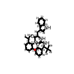 CC(C)c1cccc(C(C)C)c1NC(=O)C(Cc1c[nH]c2ccccc12)NC(=O)NC(c1ccccc1)C(C)(C)C